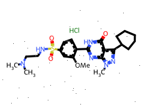 COc1cc(S(=O)(=O)NCCN(C)C)ccc1-c1nc2c(c(C3CCCCC3)nn2C)c(=O)[nH]1.Cl